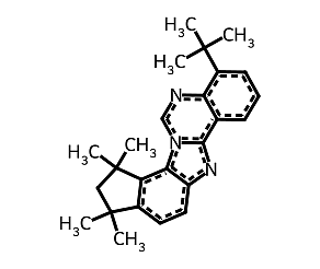 CC(C)(C)c1cccc2c1ncn1c2nc2ccc3c(c21)C(C)(C)CC3(C)C